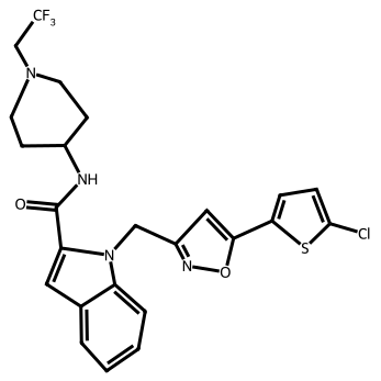 O=C(NC1CCN(CC(F)(F)F)CC1)c1cc2ccccc2n1Cc1cc(-c2ccc(Cl)s2)on1